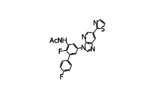 CC(=O)Nc1cc(-n2cnc3cc(-c4nccs4)cnc32)cc(-c2ccc(F)cc2)c1F